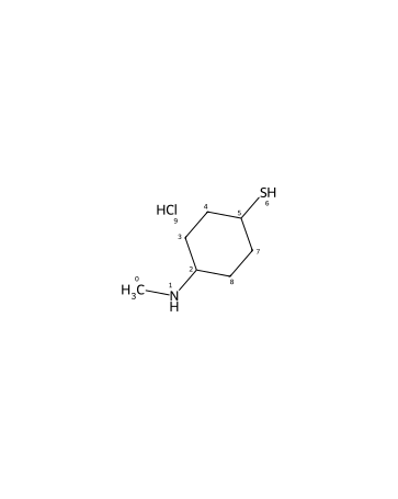 CNC1CCC(S)CC1.Cl